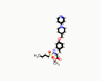 CCCCS(=O)(=O)N[C@H](Cc1ccc(OCC2CCN(c3ccncc3)CC2)cc1)C(=O)OC